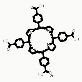 O=C(O)c1ccc(-c2c3nc(c(-c4ccc(C(=O)O)cc4)c4ccc([nH]4)c(-c4ccc(C(=O)O)cc4)c4nc(c(-c5ccc(C(=O)O)cc5)c5ccc2[nH]5)C=C4)C=C3)cc1.[Zr]